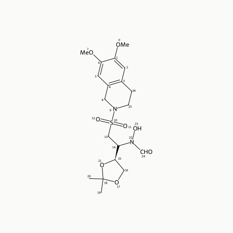 COc1cc2c(cc1OC)CN(S(=O)(=O)CC([C@H]1COC(C)(C)O1)N(O)C=O)CC2